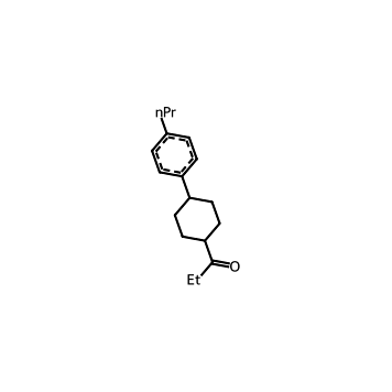 CCCc1ccc(C2CCC(C(=O)CC)CC2)cc1